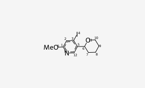 COc1cc(I)c(C2CCCCO2)cn1